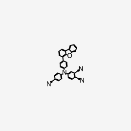 N#Cc1ccc(N(c2ccc(-c3cccc4c3oc3ccccc34)cc2)c2ccc(C#N)c(C#N)c2)cc1